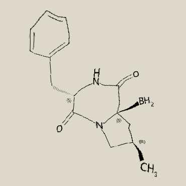 B[C@@]12C[C@@H](C)CN1C(=O)[C@H](Cc1ccccc1)NC2=O